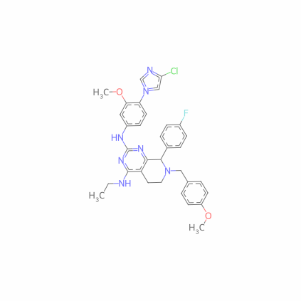 CCNc1nc(Nc2ccc(-n3cnc(Cl)c3)c(OC)c2)nc2c1CCN(Cc1ccc(OC)cc1)C2c1ccc(F)cc1